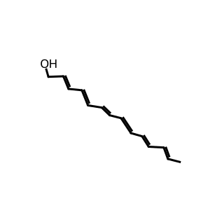 C/C=C/C=C/C=C/C=C/C=C/C=C/CO